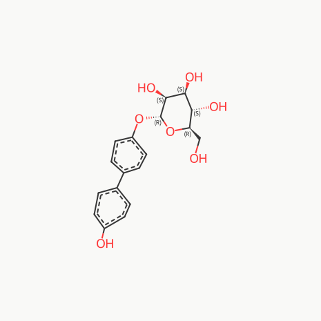 OC[C@H]1O[C@H](Oc2ccc(-c3ccc(O)cc3)cc2)[C@@H](O)[C@@H](O)[C@@H]1O